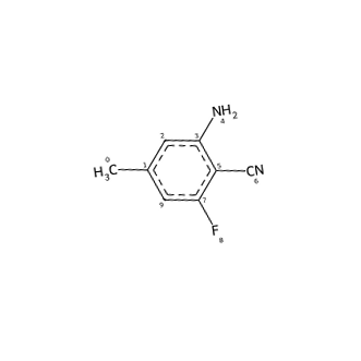 Cc1cc(N)c(C#N)c(F)c1